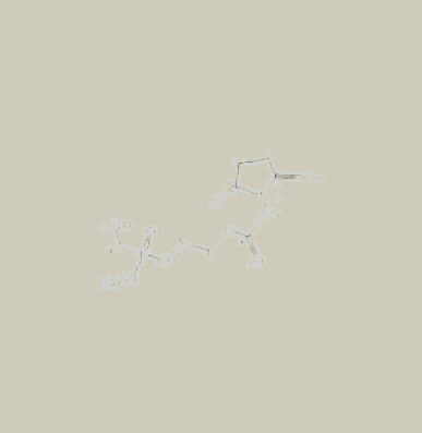 CC(C)(C)OP(=O)(OCCOC(=O)ON1C(=O)CCC1=O)OC(C)(C)C